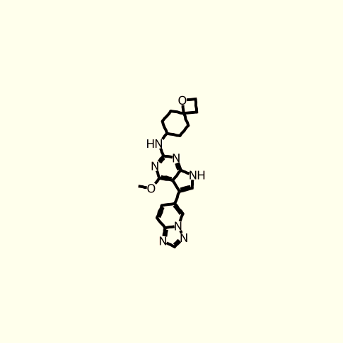 COc1nc(NC2CCC3(CCO3)CC2)nc2[nH]cc(-c3ccc4ncnn4c3)c12